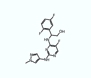 Cn1cc(Nc2ncc(F)c(NC(CO)c3cc(F)ccc3F)n2)cn1